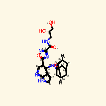 O=C(NC[C@H](O)CO)c1noc(-c2cnc3[nH]ccc3c2N[C@@]23CC4C[C@H](C2)C(O)[C@@H](C4)C3)n1